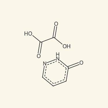 O=C(O)C(=O)O.O=c1cccn[nH]1